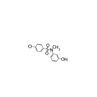 CN(c1cccc(O)c1)S(=O)(=O)c1ccc(Cl)cc1